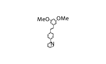 COc1cc(C=Cc2ccc(-c3ccccn3)cc2)cc(OC)c1